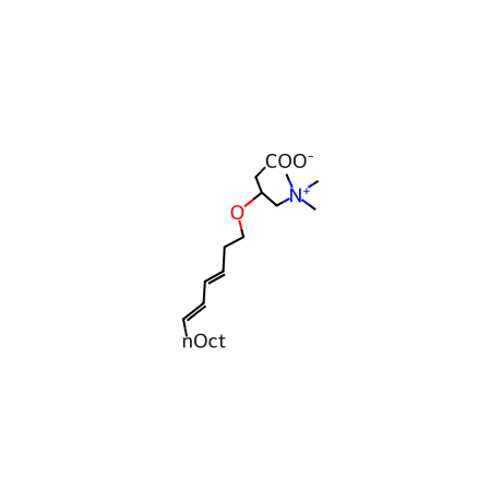 CCCCCCCCC=CC=CCCOC(CC(=O)[O-])C[N+](C)(C)C